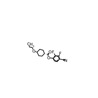 CCCO[C@H]1CC[C@H](C(=O)Oc2ccc(C#N)c(F)c2F)CC1